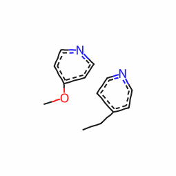 CCc1ccncc1.COc1ccncc1